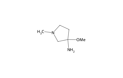 COC1(N)CCN(C)C1